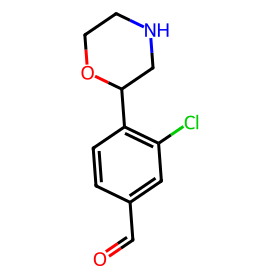 O=Cc1ccc(C2CNCCO2)c(Cl)c1